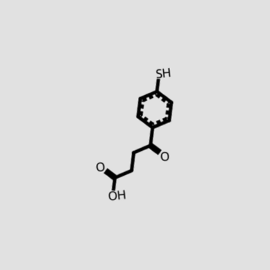 O=C(O)CCC(=O)c1ccc(S)cc1